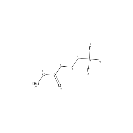 CC(F)(F)CCCC(=O)OC(C)(C)C